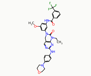 CCN1C(=O)N(c2cc(NC(=O)c3cccc(C(F)(F)F)c3)cc(OC)c2)Cc2cnc(Nc3ccc(N4CCOCC4)cc3)nc21